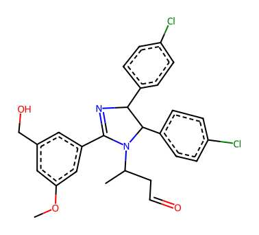 COc1cc(CO)cc(C2=NC(c3ccc(Cl)cc3)C(c3ccc(Cl)cc3)N2C(C)CC=O)c1